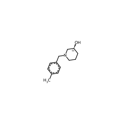 Cc1ccc(CN2CCC[C@H](O)C2)cc1